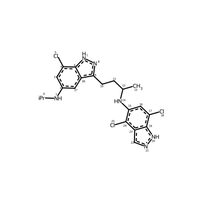 CC(C)Nc1cc(Cl)c2[nH]nc(CCC(C)Nc3cc(Cl)c4[nH]ncc4c3Cl)c2c1